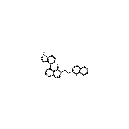 O=c1c2c(-c3cccc4[nH]ccc34)cccc2cnn1CCc1ccc2ccccc2n1